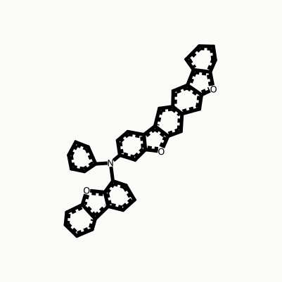 c1ccc(N(c2ccc3c(c2)oc2cc4cc5oc6ccccc6c5cc4cc23)c2cccc3c2oc2ccccc23)cc1